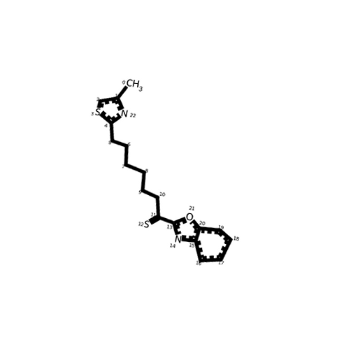 Cc1csc(CCCCCCC(=S)c2nc3ccccc3o2)n1